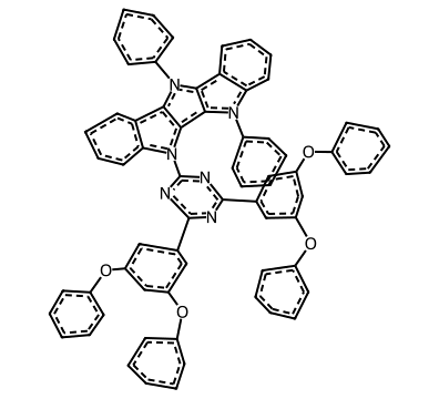 c1ccc(Oc2cc(Oc3ccccc3)cc(-c3nc(-c4cc(Oc5ccccc5)cc(Oc5ccccc5)c4)nc(-n4c5ccccc5c5c4c4c(c6ccccc6n4-c4ccccc4)n5-c4ccccc4)n3)c2)cc1